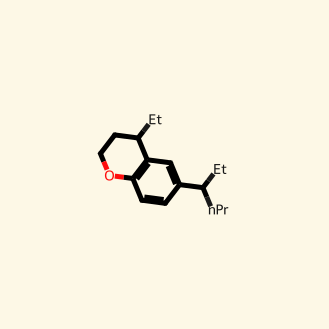 CCCC(CC)c1ccc2c(c1)C(CC)CCO2